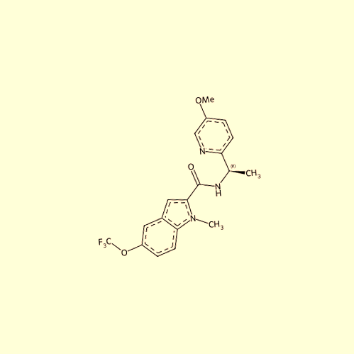 COc1ccc([C@@H](C)NC(=O)c2cc3cc(OC(F)(F)F)ccc3n2C)nc1